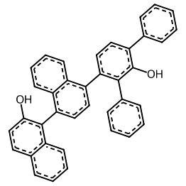 Oc1ccc2ccccc2c1-c1ccc(-c2ccc(-c3ccccc3)c(O)c2-c2ccccc2)c2ccccc12